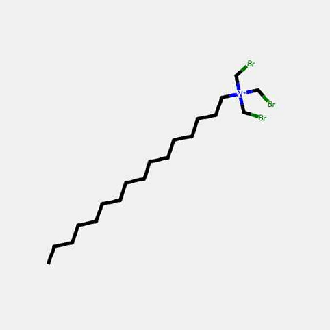 CCCCCCCCCCCCCCCC[N+](CBr)(CBr)CBr